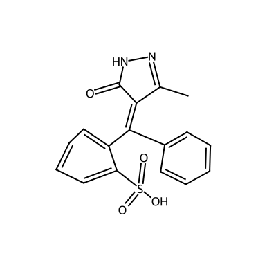 CC1=NNC(=O)C1=C(c1ccccc1)c1ccccc1S(=O)(=O)O